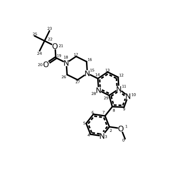 COc1ncccc1-c1cnn2ccc(N3CCN(C(=O)OC(C)(C)C)CC3)nc12